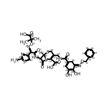 CC(C)(O/N=C(\C(=O)NC1C(=O)N2C(C(=O)O)=C(CNC(=O)C3=CC(O)=C(O)C(=NOCc4ccccc4)C3)CS[C@@H]12)c1csc(N)n1)C(=O)O